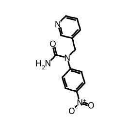 NC(=O)N(Cc1cccnc1)c1ccc([N+](=O)[O-])cc1